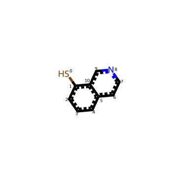 Sc1cccc2ccncc12